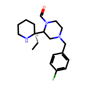 CC[C@@]1(C2CN(Cc3ccc(F)cc3)CCN2C=O)CCCCN1